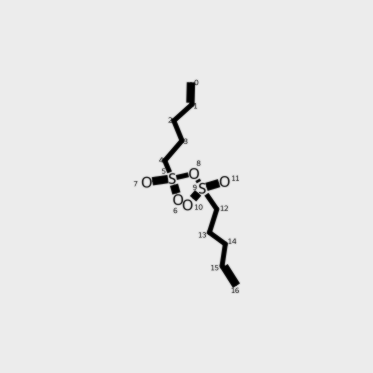 C=CCCCS(=O)(=O)OS(=O)(=O)CCCC=C